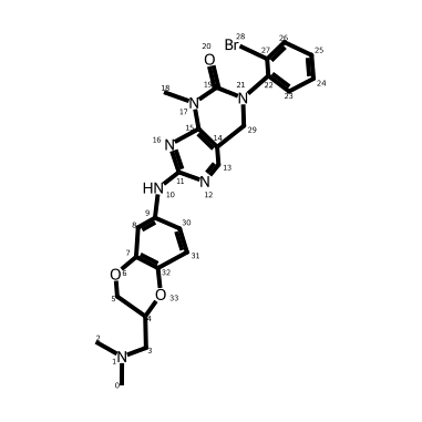 CN(C)CC1COc2cc(Nc3ncc4c(n3)N(C)C(=O)N(c3ccccc3Br)C4)ccc2O1